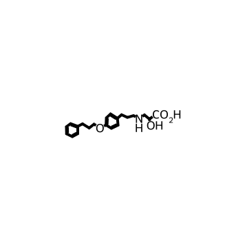 O=C(O)C(O)CNCCCc1ccc(OCCCc2ccccc2)cc1